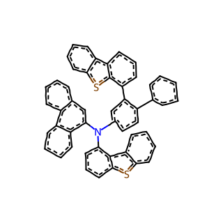 c1ccc(-c2ccc(N(c3cc4ccccc4c4ccccc34)c3cccc4sc5ccccc5c34)cc2-c2cccc3c2sc2ccccc23)cc1